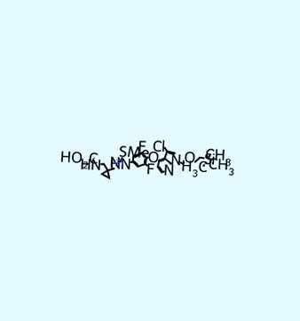 CS/C(=N/CC1(CNC(=O)O)CC1)Nc1cc(F)c(Oc2ccnc3c2c(Cl)cn3COCC[Si](C)(C)C)c(F)c1